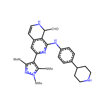 CNc1nn(NC)c(NC)c1-c1cc2c(c(Nc3ccc(C4CCNCC4)cc3)n1)C(C=O)NC=C2